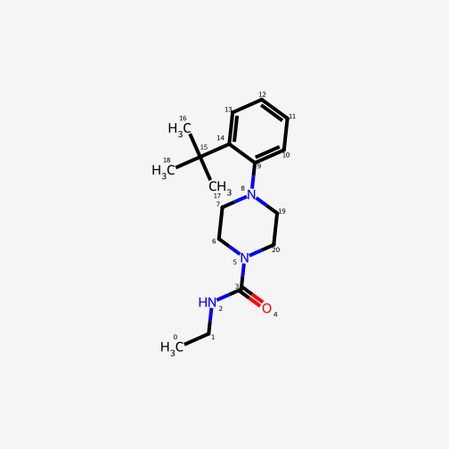 CCNC(=O)N1CCN(c2ccccc2C(C)(C)C)CC1